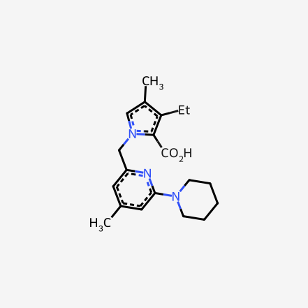 CCc1c(C)cn(Cc2cc(C)cc(N3CCCCC3)n2)c1C(=O)O